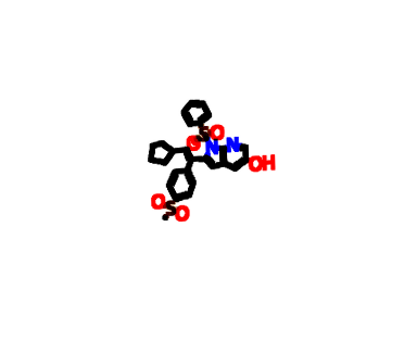 CS(=O)(=O)c1ccc(/C(=C\C2CCCC2)c2cc3cc(O)cnc3n2S(=O)(=O)c2ccccc2)cc1